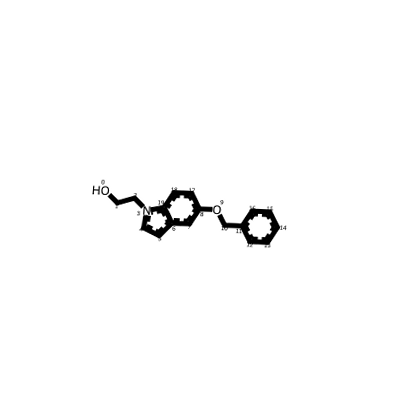 OCCn1ccc2cc(OCc3ccccc3)ccc21